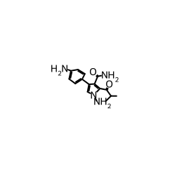 CC(C)C(=O)c1c(C(N)=O)c(-c2ccc(N)cc2)cn1N